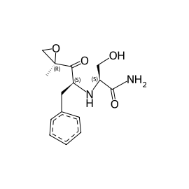 C[C@]1(C(=O)[C@H](Cc2ccccc2)N[C@@H](CO)C(N)=O)CO1